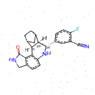 N#Cc1cc([C@@H]2Nc3ccc4c(c3[C@H]3C5CCC(C5)[C@@H]23)C(=O)NC4)ccc1F